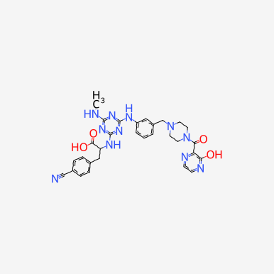 CNc1nc(Nc2cccc(CN3CCN(C(=O)c4nccnc4O)CC3)c2)nc(NC(Cc2ccc(C#N)cc2)C(=O)O)n1